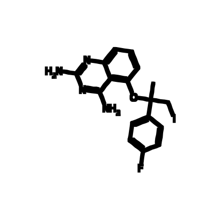 CC(CI)(Oc1cccc2nc(N)nc(N)c12)c1ccc(F)cc1